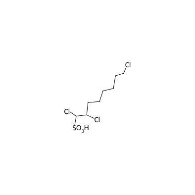 O=S(=O)(O)C(Cl)C(Cl)CCCCCCCl